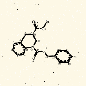 CC(C)OC(=O)[C@@H]1Cc2ccccc2N(C(=O)OCc2ccccc2)C1